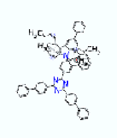 C=C/C=C\C(C)c1c(/C=C\C)n([C@@]2(C(C)/C=C\C=C)CC=C(c3nc(-c4ccc(-c5ccccc5)cc4)nc(-c4ccc(-c5ccccc5)cc4)n3)C=C2c2ccccc2)c2c(-c3ccccc3)cc(-c3ccccc3)cc12